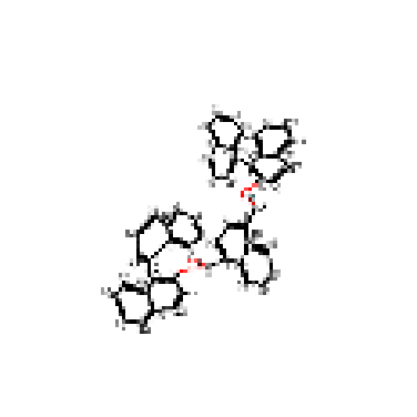 c1ccc2c(-c3c(OCc4ccc(COc5ccc6ccccc6c5-c5cccc6ccccc56)c5ccccc45)ccc4ccccc34)cccc2c1